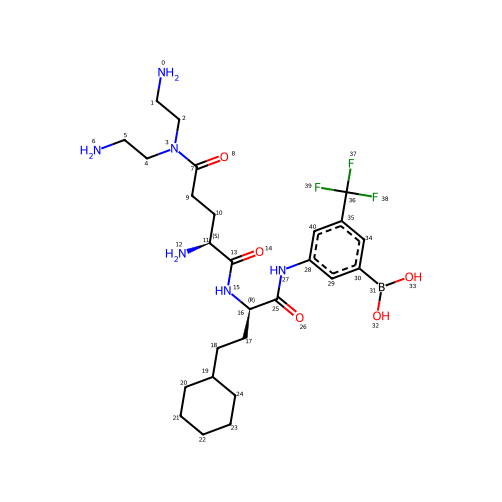 NCCN(CCN)C(=O)CC[C@H](N)C(=O)N[C@H](CCC1CCCCC1)C(=O)Nc1cc(B(O)O)cc(C(F)(F)F)c1